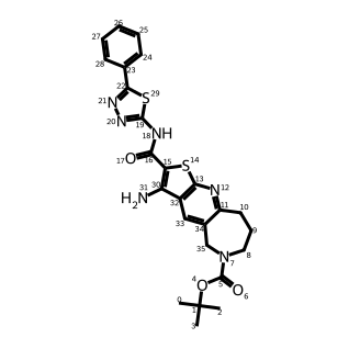 CC(C)(C)OC(=O)N1CCCc2nc3sc(C(=O)Nc4nnc(-c5ccccc5)s4)c(N)c3cc2C1